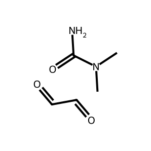 CN(C)C(N)=O.O=CC=O